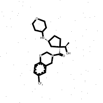 C[C@@H](O)[C@]1(C(=O)N2COc3ccc(C(F)(F)F)cc3C2)CC[C@@H](NC2CCOCC2)C1